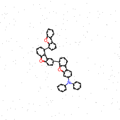 c1ccc(N(c2ccccc2)c2ccc3c(c2)oc2c(-c4ccc5oc6cccc(-c7cccc8c7oc7ccccc78)c6c5c4)cccc23)cc1